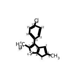 CC1=CC2=C(C1)[S-]C(C)=C2c1ccc(Cl)cc1.[Li+]